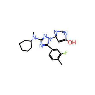 Cc1ccc(-c2nc(N(C)C3CCCCC3)nn2-c2cc(O)ncn2)cc1F